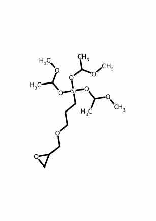 COC(C)O[Si](CCCOCC1CO1)(OC(C)OC)OC(C)OC